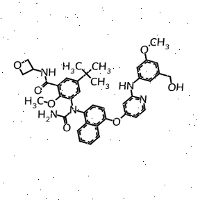 COc1cc(CO)cc(Nc2cc(Oc3ccc(N(C(N)=O)c4cc(C(C)(C)C)cc(C(=O)NC5COC5)c4OC)c4ccccc34)ccn2)c1